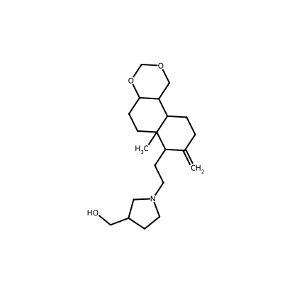 C=C1CCC2C3COCOC3CCC2(C)C1CCN1CCC(CO)C1